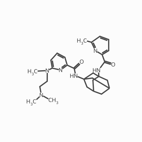 Cc1cccc(C(=O)NC23CC4CC(C2)CC(NC(=O)c2cccc(N(C)CCN(C)C)n2)(C4)C3)n1